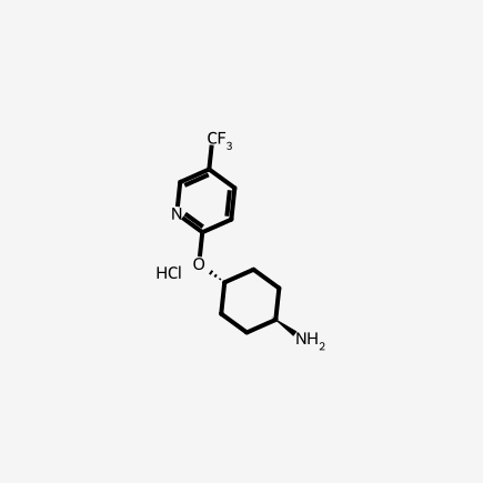 Cl.N[C@H]1CC[C@H](Oc2ccc(C(F)(F)F)cn2)CC1